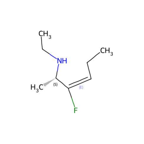 CC/C=C(/F)[C@H](C)NCC